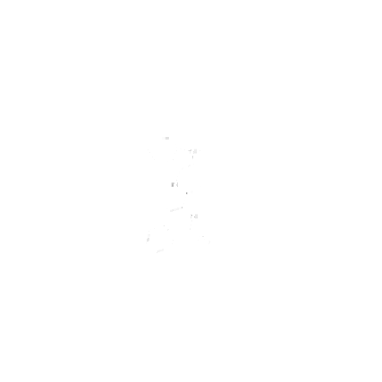 O=C(Nc1c[nH]c2cc(F)ccc12)C(=O)NC(c1ccccc1)C(F)(F)F